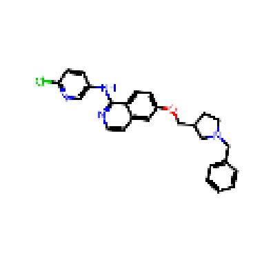 Clc1ccc(Nc2nccc3cc(OC[C@H]4CCN(Cc5ccccc5)C4)ccc23)cn1